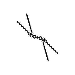 CC#CC#CC#CC#CC#CC#COP(OCCCCCCCCCCCCC)Oc1ccc(C(C)(C)c2ccc(OP(OC#CC#CC#CC#CC#CC#CC)OCCCCCCCCCCCCC)cc2)cc1